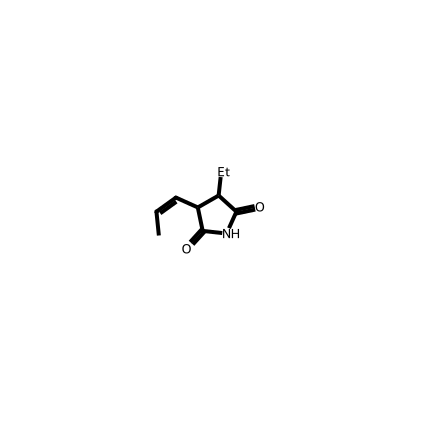 C/C=C\C1C(=O)NC(=O)C1CC